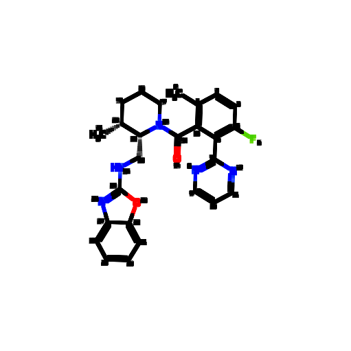 Cc1ccc(F)c(-c2ncccn2)c1C(=O)N1CCC[C@@H](C)[C@H]1CNc1nc2ccccc2o1